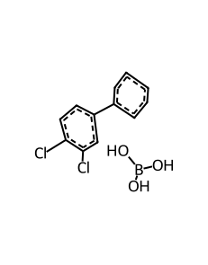 Clc1ccc(-c2ccccc2)cc1Cl.OB(O)O